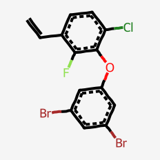 C=Cc1ccc(Cl)c(Oc2cc(Br)cc(Br)c2)c1F